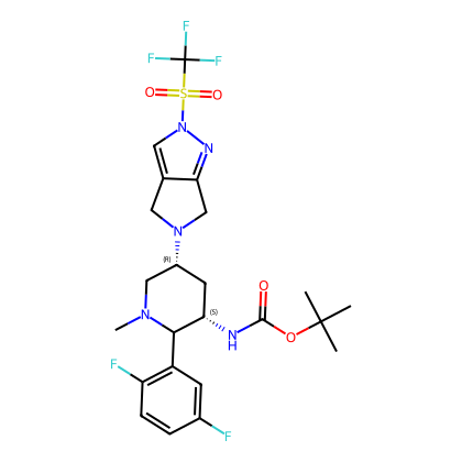 CN1C[C@H](N2Cc3cn(S(=O)(=O)C(F)(F)F)nc3C2)C[C@H](NC(=O)OC(C)(C)C)C1c1cc(F)ccc1F